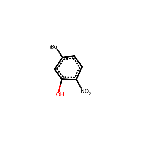 CCC(C)c1ccc([N+](=O)[O-])c(O)c1